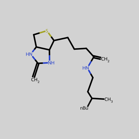 C=C(CCCC1SCC2NC(=C)NC21)NCCC(C)CCCC